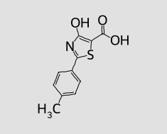 Cc1ccc(-c2nc(O)c(C(=O)O)s2)cc1